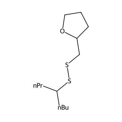 CCCCC(CCC)SSCC1CCCO1